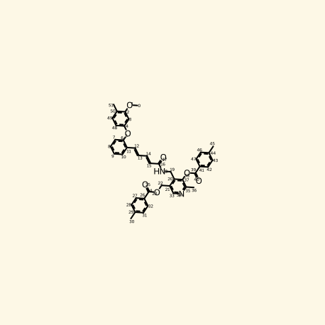 COc1cc(Oc2ccccc2C=CC=CC(=O)NCc2c(COC(=O)c3ccc(C)cc3)cnc(C)c2OC(=O)c2ccc(C)cc2)ccc1C